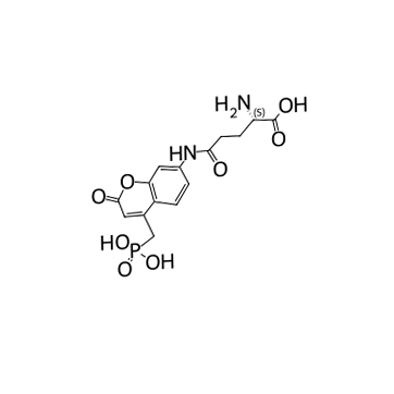 N[C@@H](CCC(=O)Nc1ccc2c(CP(=O)(O)O)cc(=O)oc2c1)C(=O)O